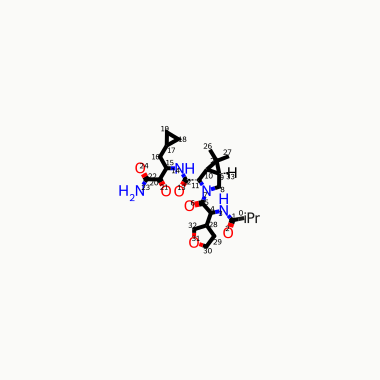 CC(C)C(=O)NC(C(=O)N1C[C@H]2C([C@H]1C(=O)NC(CC1CC1)C(=O)C(N)=O)C2(C)C)C1CCOC1